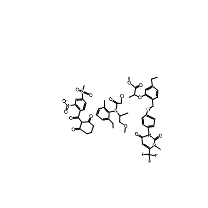 CCc1ccc(COc2ccc(-n3c(=O)cc(C(F)(F)F)n(C)c3=O)cc2)c(OC(C)C(=O)OC)c1.CCc1cccc(C)c1N(C(=O)CCl)C(C)COC.CS(=O)(=O)c1ccc(C(=O)C2C(=O)CCCC2=O)c([N+](=O)[O-])c1